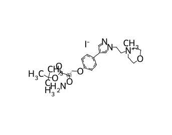 CC(C)(C)OC(=O)[C@H](COc1ccc(-c2cnn(CC[N+]3(C)CCOCC3)c2)cc1)ON.[I-]